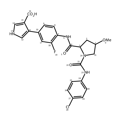 COC1CC(C(=O)Nc2ccc(-c3c[nH]cc3C(=O)O)cc2F)N(C(=O)Nc2ccc(Cl)cc2)C1